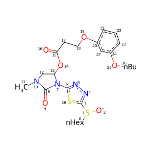 CCCCCC[S+]([O-])c1nnc(N2C(=O)N(C)CC2OC(=O)CCOc2cccc(OCCCC)c2)s1